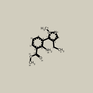 CCc1cnn(C)c1-c1cccc(C(=O)OC)c1N